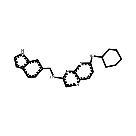 c1cc2ccc(CNc3cnc4ccc(NC5CCCCC5)nc4n3)cc2[nH]1